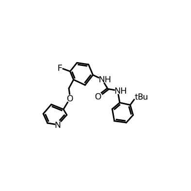 CC(C)(C)c1ccccc1NC(=O)Nc1ccc(F)c(COc2cccnc2)c1